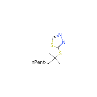 CCCCCCC(C)(C)Sc1nncs1